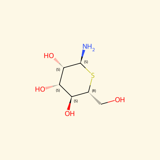 N[C@H]1S[C@H](CO)[C@@H](O)[C@H](O)[C@@H]1O